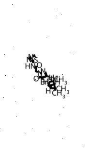 C[C@@H]1[C@H]2C[C@@H](C[C@H]1Nc1cnn(CC(=O)Nc3nncs3)c(=O)c1Br)C2(C)C